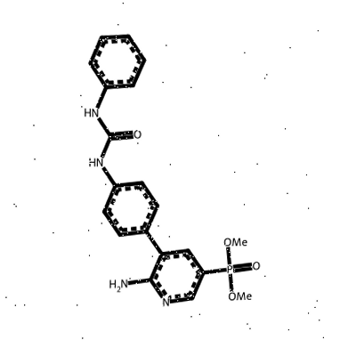 COP(=O)(OC)c1cnc(N)c(-c2ccc(NC(=O)Nc3ccccc3)cc2)c1